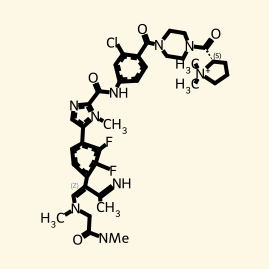 CNC(=O)CN(C)/C=C(\C(C)=N)c1ccc(-c2cnc(C(=O)Nc3ccc(C(=O)N4CCN(C(=O)[C@@H]5CCC[N+]5(C)C)CC4)c(Cl)c3)n2C)c(F)c1F